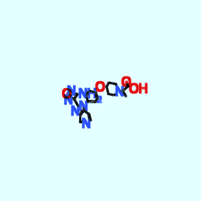 CC(C(=O)O)N1CCC(Oc2ccc(-n3c(-c4nonc4N)nc4cnccc43)cc2)CC1